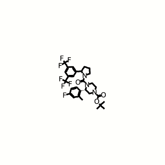 Cc1cc(F)ccc1[C@H]1CN(C(=O)OC(C)(C)C)CCN1C(=O)N1CCCC1c1cc(C(F)(F)F)cc(C(F)(F)F)c1